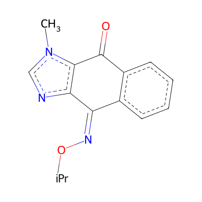 CC(C)O/N=C1/c2ccccc2C(=O)c2c1ncn2C